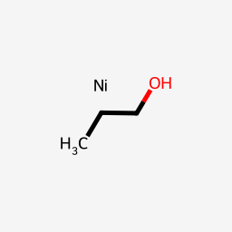 CCCO.[Ni]